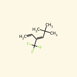 C=C/C(=C\C(C)(C)C)C(F)(F)F